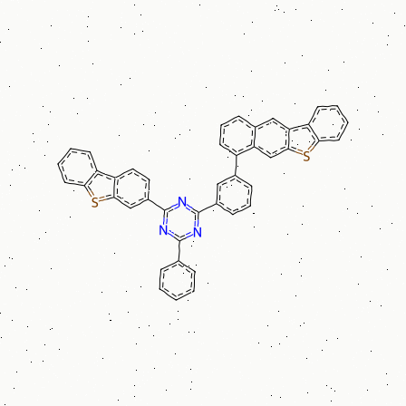 c1ccc(-c2nc(-c3cccc(-c4cccc5cc6c(cc45)sc4ccccc46)c3)nc(-c3ccc4c(c3)sc3ccccc34)n2)cc1